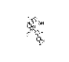 CC[C@@H]1CO[C@H](CO)CN1c1nccc2c1nc(-c1c[nH]c(-c3ccc4scnc4c3)n1)n2CCOC